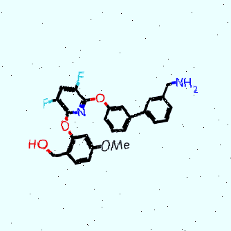 COc1ccc(CO)c(Oc2nc(Oc3cccc(-c4cccc(CN)c4)c3)c(F)cc2F)c1